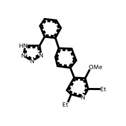 CCc1cc(-c2ccc(-c3ccccc3-c3nnn[nH]3)cc2)c(OC)c(CC)n1